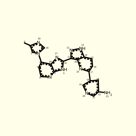 Cc1cn(-c2ccnc3[nH]c(-c4n[nH]c5ccc(-c6cncc(N)c6)nc45)nc23)cn1